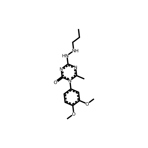 CCCNNc1nc(C)n(-c2ccc(OC)c(OC)c2)c(=O)n1